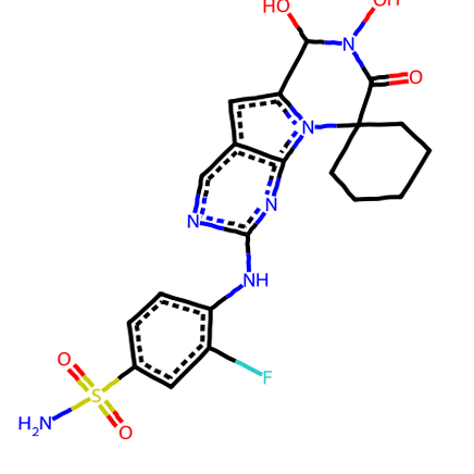 NS(=O)(=O)c1ccc(Nc2ncc3cc4n(c3n2)C2(CCCCC2)C(=O)N(O)C4O)c(F)c1